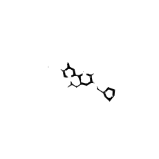 CC(C)(C)C1Cc2cc(OCc3ccccc3)c(Cl)nc2-c2cc(=O)c(C(=O)O)cn21